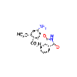 Nc1ccc(C(=O)O)c(C(=O)O)c1.O=C1NC(=O)c2ccccc21